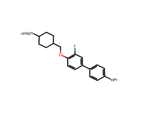 CCCCCCCC1CCC(COc2ccc(-c3ccc(CCC)cc3)cc2F)CC1